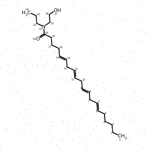 CCCCCC=CCC=CCC=CCC=CCCCC(=O)N(CCC)CCO